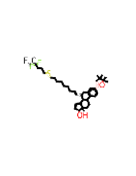 CC12CCC3c4ccc(B5CC(C)(C)C(C)(C)O5)cc4C[C@@H](CCCCCCCCCSCCCC(F)(F)C(F)(F)F)C3C1CCC2O